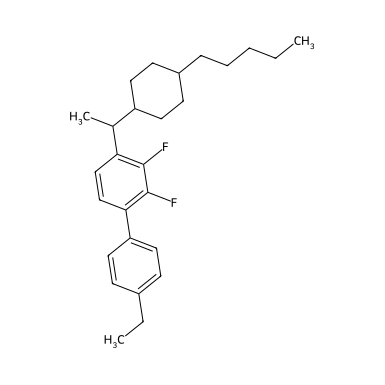 CCCCCC1CCC(C(C)c2ccc(-c3ccc(CC)cc3)c(F)c2F)CC1